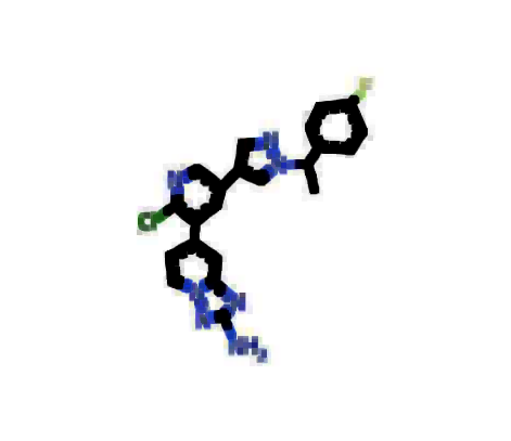 CC(c1ccc(F)cc1)n1cc(-c2cnc(Cl)c(-c3ccn4nc(N)nc4c3)c2)cn1